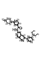 CCN(CC)c1cncc(-c2cc3cc(NC(=O)c4ccnc(N5CCN(C)CC5)c4)ncc3cn2)n1